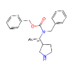 CC(=O)[C@H](C1CCNC1)N(Cc1ccccc1)C(=O)OCc1ccccc1